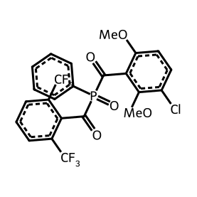 COc1ccc(Cl)c(OC)c1C(=O)P(=O)(C(=O)c1c(C(F)(F)F)cccc1C(F)(F)F)c1ccccc1